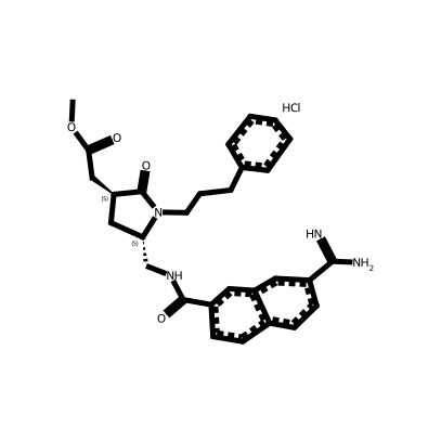 COC(=O)C[C@@H]1C[C@@H](CNC(=O)c2ccc3ccc(C(=N)N)cc3c2)N(CCCc2ccccc2)C1=O.Cl